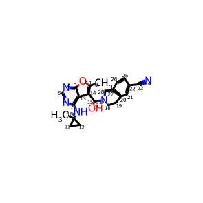 Cc1oc2ncnc(NC3(C)CC3)c2c1C(O)N1CCc2cc(C#N)ccc2C1